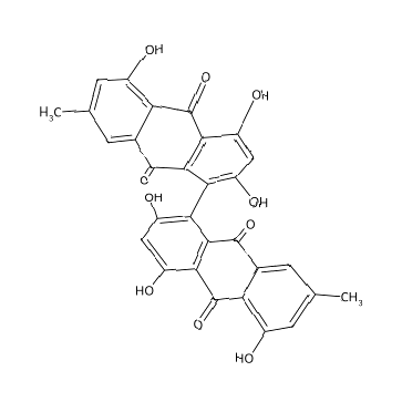 Cc1cc(O)c2c(c1)C(=O)c1c(c(O)cc(O)c1-c1c(O)cc(O)c3c1C(=O)c1cc(C)cc(O)c1C3=O)C2=O